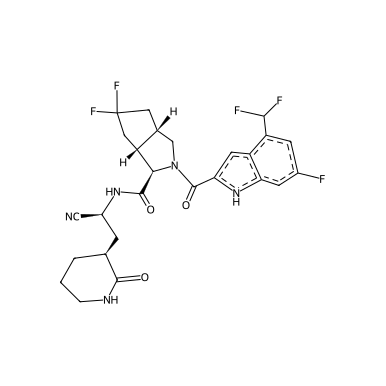 N#C[C@H](C[C@@H]1CCCNC1=O)NC(=O)[C@H]1[C@@H]2CC(F)(F)C[C@@H]2CN1C(=O)c1cc2c(C(F)F)cc(F)cc2[nH]1